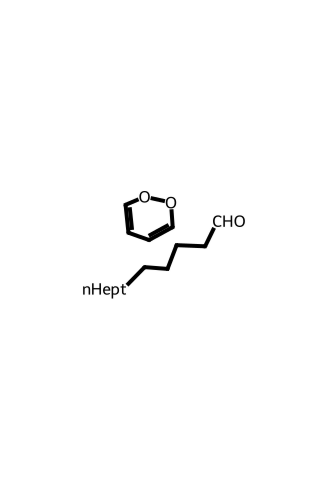 C1=COOC=C1.CCCCCCCCCCCC=O